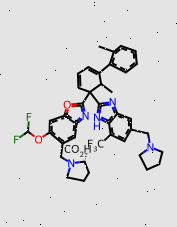 Cc1ccccc1C1=CC=CC(c2nc3cc(CN4CCCC4)cc(C(F)(F)F)c3[nH]2)(c2nc3cc(CN4CCC[C@H]4C(=O)O)c(OC(F)F)cc3o2)C1C